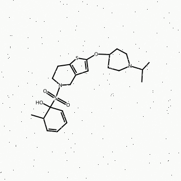 CC(C)N1CCC(Oc2cc3c(s2)CCN(S(=O)(=O)C2(O)C=CC=CC2C)C3)CC1